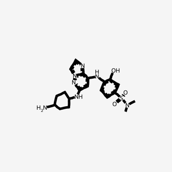 CN(C)S(=O)(=O)c1ccc(Nc2cc(NC3CCC(N)CC3)nn3ccnc23)c(O)c1